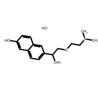 CC(=O)OC(COCCN(C)C)c1ccc2cc(O)ccc2c1.Cl